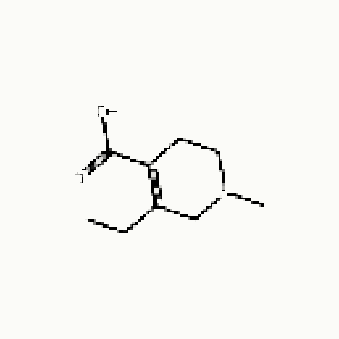 CCC1=C(C(=O)O)CCN(C)C1